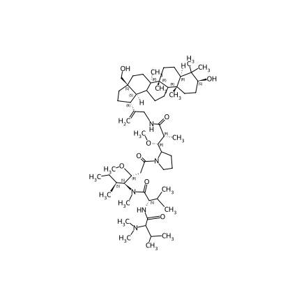 C=C(CNC(=O)[C@H](C)[C@@H](OC)C1CCCN1C(=O)C[C@@H](OC)[C@H]([C@@H](C)CC)N(C)C(=O)[C@@H](NC(=O)C(C(C)C)N(C)C)C(C)C)[C@@H]1CC[C@]2(CO)CC[C@]3(C)C(CCC4[C@@]5(C)CC[C@H](O)C(C)(C)[C@@H]5CC[C@]43C)[C@@H]12